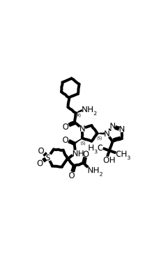 CC(C)(O)c1cnnn1[C@H]1C[C@@H](C(=O)NC2(C(=O)C(N)=O)CCS(=O)(=O)CC2)N(C(=O)[C@H](N)CC2CCCCC2)C1